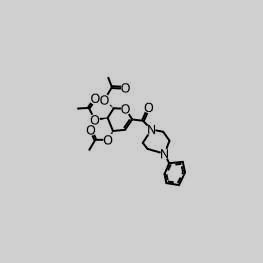 CC(=O)O[C@@H]1OC(C(=O)N2CCN(c3ccccc3)CC2)=C[C@H](OC(C)=O)[C@H]1OC(C)=O